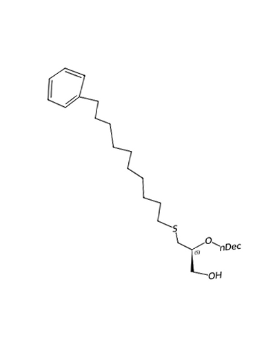 CCCCCCCCCCO[C@@H](CO)CSCCCCCCCCCCc1ccccc1